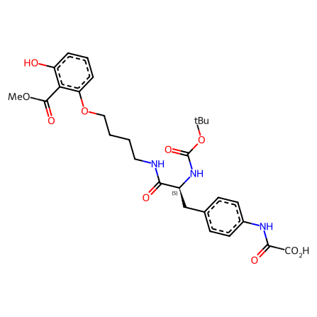 COC(=O)c1c(O)cccc1OCCCCNC(=O)[C@H](Cc1ccc(NC(=O)C(=O)O)cc1)NC(=O)OC(C)(C)C